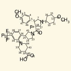 COc1ccc([C@@H]2CN(C3CCC(OC)CC3)C[C@@]2(F)C(=O)N2CCC(c3ccc(C(F)(F)F)cc3N3CCC(C(=O)O)CC3)C2)cc1